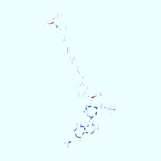 N#Cc1cnc2c(cnn2-c2cc(NC3CC3)c(C(=O)NCC(F)COCCOCCOCCNC(=O)O)cn2)c1